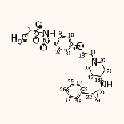 CCS(=O)(=O)NC(=O)c1ccc(OCCN2CCC(N[C@@H]3C[C@H]3c3ccccc3)CC2)cc1